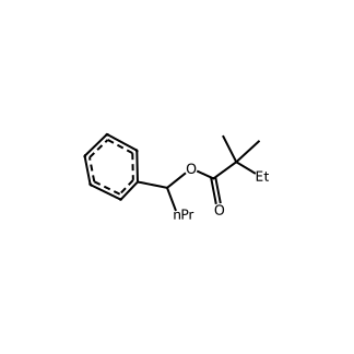 CCCC(OC(=O)C(C)(C)CC)c1ccccc1